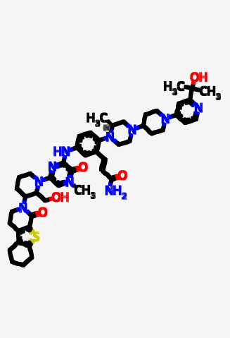 C[C@H]1CN(C2CCN(c3ccnc(C(C)(C)O)c3)CC2)CCN1c1ccc(Nc2nc(N3CCCC(N4CCc5c(sc6c5CCCC6)C4=O)C3CO)cn(C)c2=O)cc1C=CC(N)=O